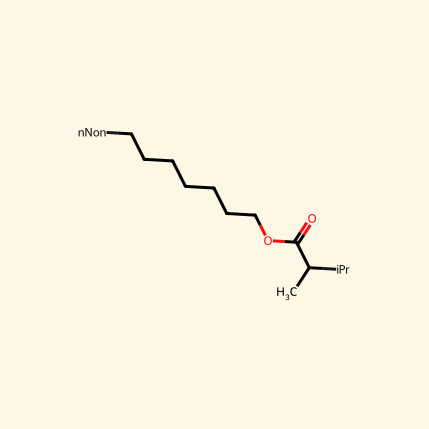 CCCCCCCCCCCCCCCCOC(=O)C(C)C(C)C